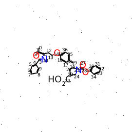 Cc1oc(-c2ccccc2)nc1CCOc1ccc(C[C@H]2C[C@H](C(=O)O)CN2C(=O)Oc2ccccc2)cc1